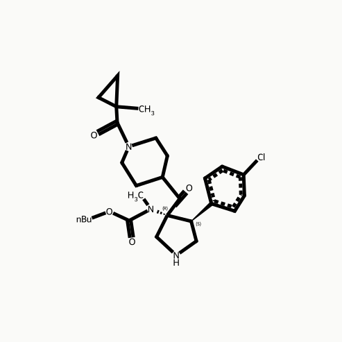 CCCCOC(=O)N(C)[C@@]1(C(=O)C2CCN(C(=O)C3(C)CC3)CC2)CNC[C@@H]1c1ccc(Cl)cc1